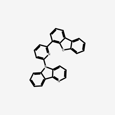 c1cc(-c2cccc3c2oc2ccccc23)nc(-n2c3ccccc3c3ncccc32)c1